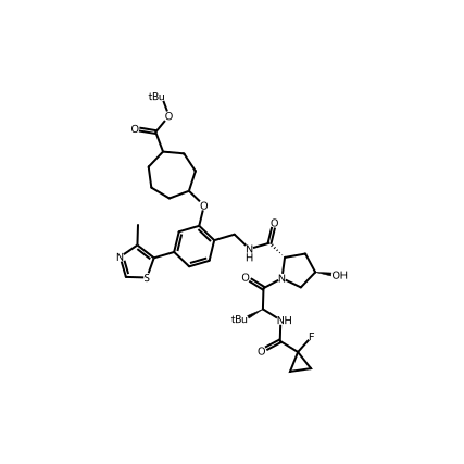 Cc1ncsc1-c1ccc(CNC(=O)[C@@H]2C[C@@H](O)CN2C(=O)[C@@H](NC(=O)C2(F)CC2)C(C)(C)C)c(OC2CCCC(C(=O)OC(C)(C)C)CC2)c1